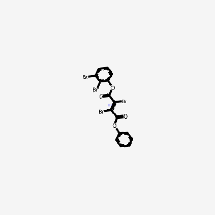 O=C(Oc1ccccc1)/C(Br)=C(\Br)C(=O)Oc1cccc(Br)c1Br